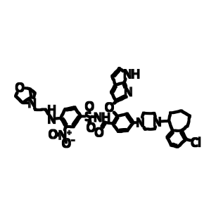 O=C(NS(=O)(=O)c1ccc(NCCN2CC3CC2CO3)c([N+](=O)[O-])c1)c1ccc(N2CCN(C3CCCCc4c(Cl)cccc43)CC2)cc1Oc1cnc2[nH]ccc2c1